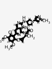 C=CC(=O)N[C@H]1CN(c2cnn(C)c2)C[C@H]1Nc1ncc2cc(-c3c(Cl)c(OC)cc(OC)c3Cl)nc(NCC3CC3)c2n1